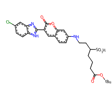 CC(C)(C)OC(=O)CCCC(CCNc1ccc2cc(-c3nc4cc(Cl)ccc4[nH]3)c(=O)oc2c1)S(=O)(=O)O